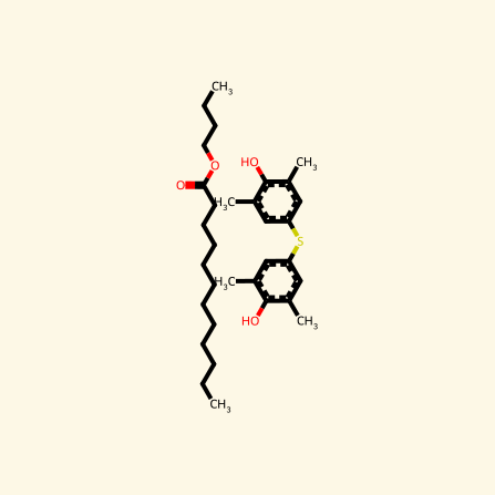 CCCCCCCCCCCC(=O)OCCCC.Cc1cc(Sc2cc(C)c(O)c(C)c2)cc(C)c1O